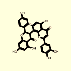 O=C1c2c(O)cc(O)cc2OC(c2ccc(O)cc2)C1c1c(O)cc(O)c2c(=O)cc(-c3ccc(O)c(O)c3)oc12